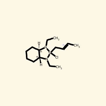 C/C=C/C[Si]1(Cl)N(CC)[C@@H]2CCCC[C@H]2N1CC